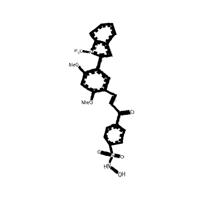 COc1cc(OC)c(-c2cc3ccccc3n2C)cc1/C=C/C(=O)c1ccc(S(=O)(=O)NO)cc1